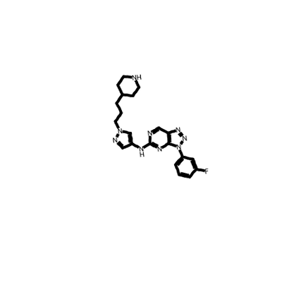 Fc1cccc(-n2nnc3cnc(Nc4cnn(CCCC5CCNCC5)c4)nc32)c1